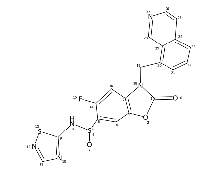 O=c1oc2cc([S+]([O-])Nc3ncns3)c(F)cc2n1Cc1cccc2ccncc12